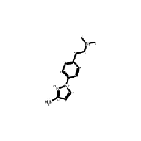 CN(C)CCc1ccc(-n2ccc(N)n2)cc1